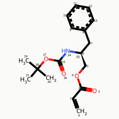 C=CC(=O)OC[C@H](Cc1ccccc1)NC(=O)OC(C)(C)C